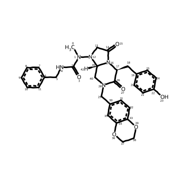 CN(C(=O)NCc1ccccc1)N1CC(=O)N2[C@@H](Cc3ccc(O)cc3)C(=O)N(Cc3ccc4c(c3)OCCO4)C[C@@H]21